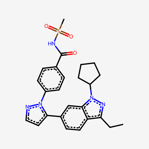 CCc1nn(C2CCCC2)c2cc(-c3ccnn3-c3ccc(C(=O)NS(C)(=O)=O)cc3)ccc12